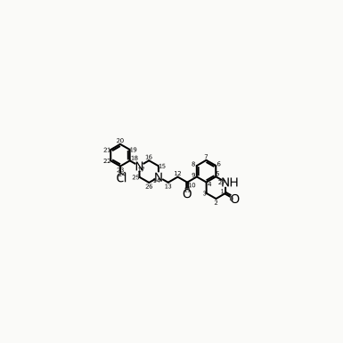 O=C1CCc2c(cccc2C(=O)CCN2CCN(c3ccccc3Cl)CC2)N1